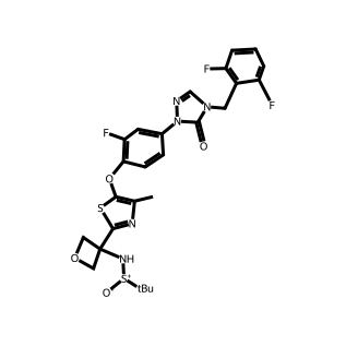 Cc1nc(C2(N[S+]([O-])C(C)(C)C)COC2)sc1Oc1ccc(-n2ncn(Cc3c(F)cccc3F)c2=O)cc1F